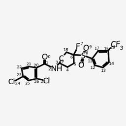 O=C(NC1CCC(F)(S(=O)(=O)c2cccc(C(F)(F)F)c2)CC1)c1ccc(Cl)cc1Cl